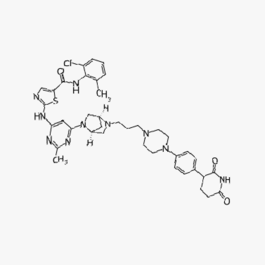 Cc1nc(Nc2ncc(C(=O)Nc3c(C)cccc3Cl)s2)cc(N2C[C@@H]3C[C@H]2CN3CCCN2CCN(c3ccc(C4CCC(=O)NC4=O)cc3)CC2)n1